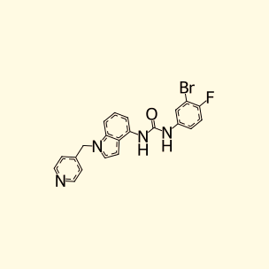 O=C(Nc1ccc(F)c(Br)c1)Nc1cccc2c1ccn2Cc1ccncc1